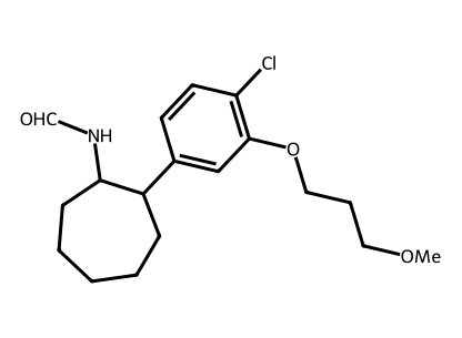 COCCCOc1cc(C2CCCCCC2NC=O)ccc1Cl